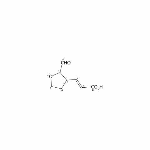 O=CC1OCCC1C=CC(=O)O